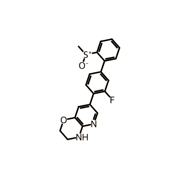 C[S+]([O-])c1ccccc1-c1ccc(-c2cnc3c(c2)OCCN3)c(F)c1